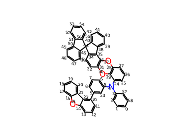 c1ccc(N(c2cccc(-c3cccc4oc5ccccc5c34)c2)c2cccc3c2Oc2ccc4c(c2O3)-c2ccccc2C42c3ccccc3-c3ccccc32)cc1